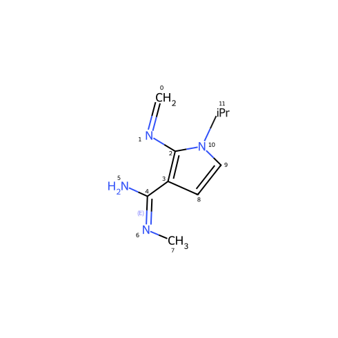 C=Nc1c(/C(N)=N\C)ccn1C(C)C